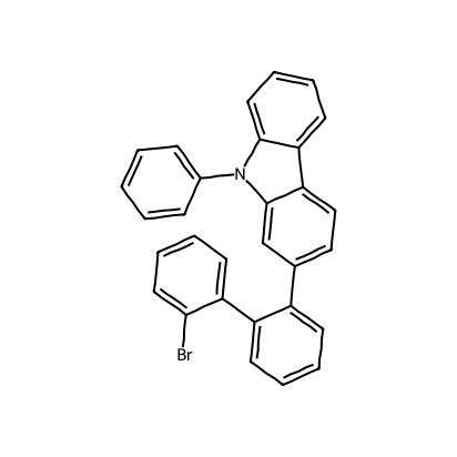 Brc1ccccc1-c1ccccc1-c1ccc2c3ccccc3n(-c3ccccc3)c2c1